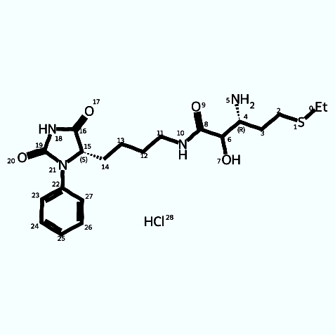 CCSCC[C@@H](N)C(O)C(=O)NCCCC[C@H]1C(=O)NC(=O)N1c1ccccc1.Cl